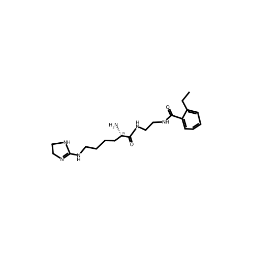 CCc1ccccc1C(=O)NCCNC(=O)[C@@H](N)CCCCNC1=NCCN1